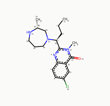 CCC[C@@H](c1nc2ccc(Cl)cc2c(=O)n1C)N1CCCN[C@H](C)C1